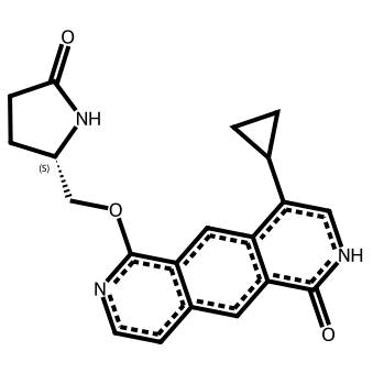 O=C1CC[C@@H](COc2nccc3cc4c(=O)[nH]cc(C5CC5)c4cc23)N1